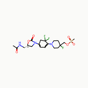 CC(=O)NC[C@H]1CN(C2=CC=C(N3CCC(F)(COS(C)(=O)=O)CC3)C(F)(F)C2)C(=O)O1